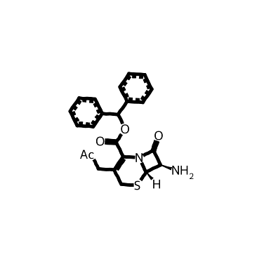 CC(=O)CC1=C(C(=O)OC(c2ccccc2)c2ccccc2)N2C(=O)[C@@H](N)[C@@H]2SC1